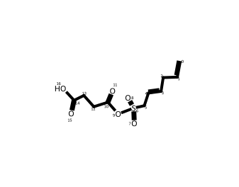 C=CCC=CCS(=O)(=O)OC(=O)CCC(=O)O